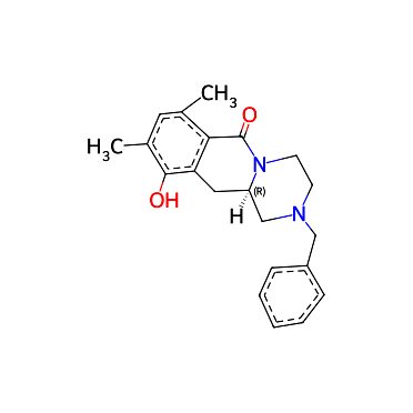 Cc1cc(C)c2c(c1O)C[C@@H]1CN(Cc3ccccc3)CCN1C2=O